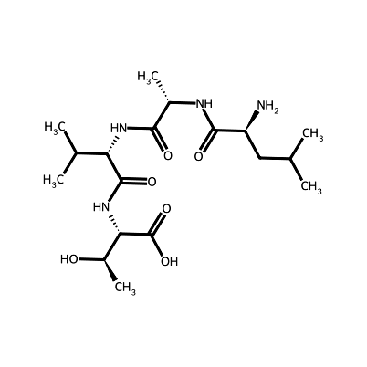 CC(C)C[C@H](N)C(=O)N[C@@H](C)C(=O)N[C@H](C(=O)N[C@H](C(=O)O)[C@@H](C)O)C(C)C